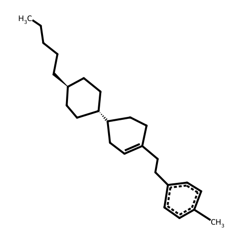 CCCCC[C@H]1CC[C@H](C2CC=C(CCc3ccc(C)cc3)CC2)CC1